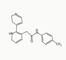 Cc1ccc(NC(=O)CC2=C(C3=CC=NCC3)NCC=C2)cc1